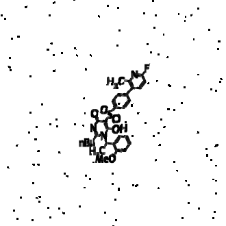 CCCCc1nc(=O)c(S(=O)(=O)c2ccc(-c3ccc(F)nc3C)cc2)c(O)n1C(C)c1ccccc1OC